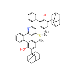 CCCCSc1cc(-c2ccccc2-c2cc(C(C)(C)C)cc(C34CC5CC(CC(C5)C3)C4)c2O)nc(-c2ccccc2-c2cc(C(C)(C)C)cc(C34CC5CC(CC(C5)C3)C4)c2O)c1